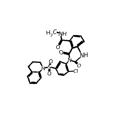 CNC(=O)c1cccc2[nH]c(=O)n(-c3cc(S(=O)(=O)N4CCCc5ccccc54)ccc3Cl)c(=O)c12